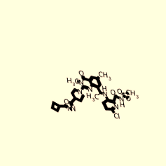 Cc1cc([C@@H](C)Nc2ccc(Cl)nc2C(=O)NS(C)(=O)=O)c2nc(N3CCC(c4nnc(C5CCC5)o4)CC3)n(C)c(=O)c2c1